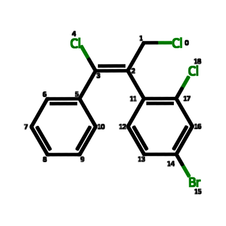 ClC/C(=C(\Cl)c1ccccc1)c1ccc(Br)cc1Cl